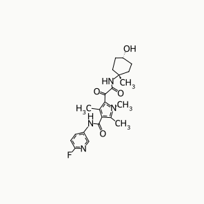 Cc1c(C(=O)Nc2ccc(F)nc2)c(C)n(C)c1C(=O)C(=O)N[C@]1(C)CC[C@H](O)CC1